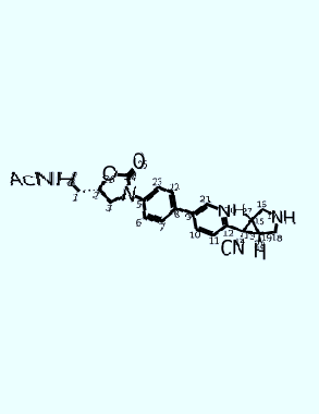 CC(=O)NC[C@H]1CN(c2ccc(-c3ccc([C@@]4(C#N)[C@@H]5CNC[C@@H]54)nc3)cc2)C(=O)O1